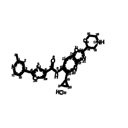 Cc1cc(-c2nc(C(=O)Nc3cc4oc(C5CNCCO5)nc4nc3C3CC3)co2)ccn1.Cl